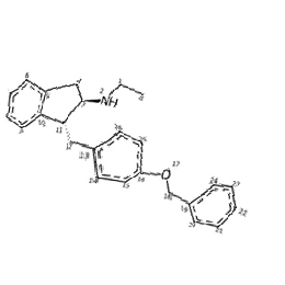 CCN[C@@H]1Cc2ccccc2[C@H]1Cc1ccc(OCc2ccccc2)cc1